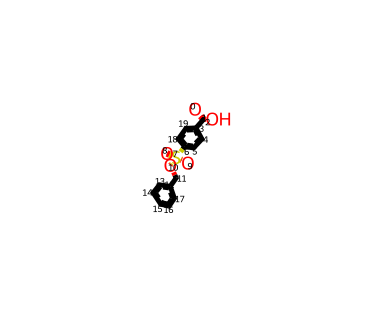 O=C(O)c1ccc(S(=O)(=O)OCc2ccccc2)cc1